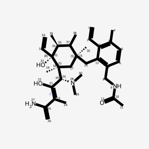 C=Cc1c(C)ccc(CNC(C)=O)c1C[C@@]1(C)C[C@@](C)([C@@H](/C(O)=C(\C)C(=C)N)N(C)C)[C@@](O)(C=C)[C@@H](C)C1C